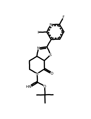 CC(C)(C)OC(=N)N1CCC2N=C(c3ccc(F)nc3I)SC2C1=O